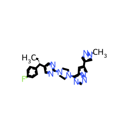 CC[C@@H](c1ccc(F)cc1)c1cnc(N2CCN(c3ncnn4cc(-c5cnn(C)c5)cc34)CC2)nc1